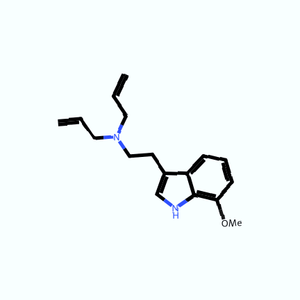 C=CCN(CC=C)CCc1c[nH]c2c(OC)cccc12